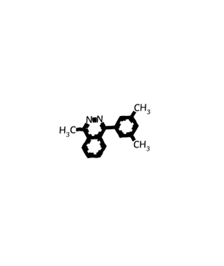 Cc1cc(C)cc(-c2nnc(C)c3ccccc23)c1